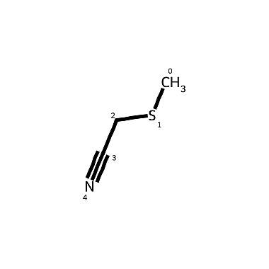 CSCC#N